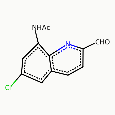 CC(=O)Nc1cc(Cl)cc2ccc(C=O)nc12